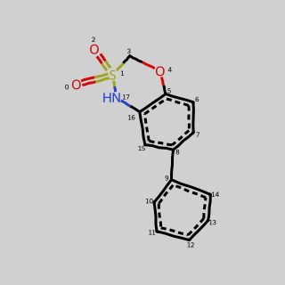 O=S1(=O)COc2ccc(-c3ccccc3)cc2N1